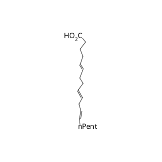 CCCCCC=CCC=CCCC=CCCCC(=O)O